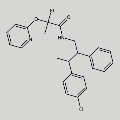 CCC(C)(Oc1ccccn1)C(=O)NCC(c1ccccc1)C(C)c1ccc(Cl)cc1